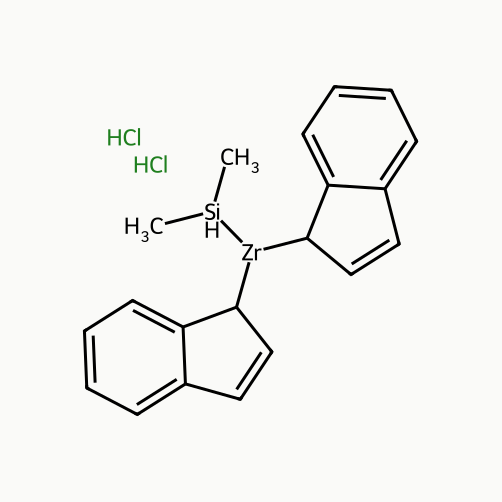 C[SiH](C)[Zr]([CH]1C=Cc2ccccc21)[CH]1C=Cc2ccccc21.Cl.Cl